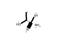 CCO.N.N#CS